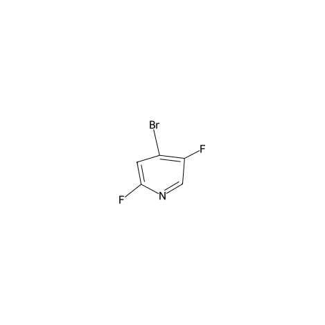 Fc1cc(Br)c(F)cn1